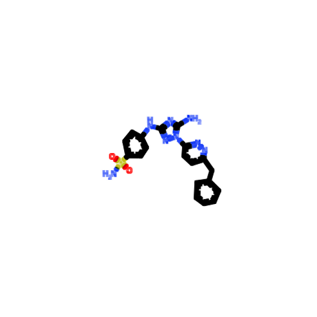 Nc1nc(Nc2ccc(S(N)(=O)=O)cc2)nn1-c1ccc(Cc2ccccc2)nn1